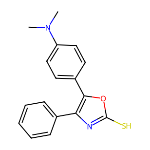 CN(C)c1ccc(-c2oc(S)nc2-c2ccccc2)cc1